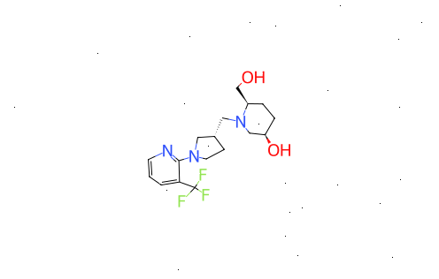 OC[C@H]1CC[C@@H](O)CN1C[C@@H]1CCN(c2ncccc2C(F)(F)F)C1